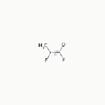 C/C(F)=C(\[O])F